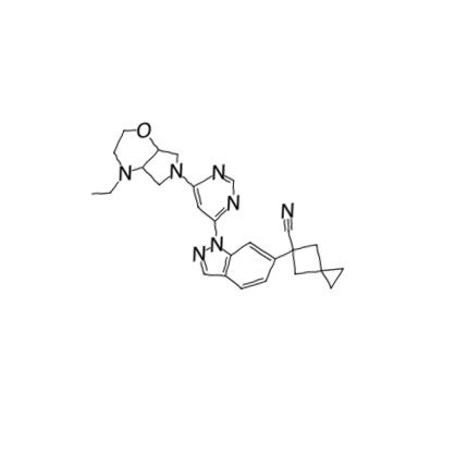 CCN1CCOC2CN(c3cc(-n4ncc5ccc(C6(C#N)CC7(CC7)C6)cc54)ncn3)CC21